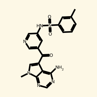 Cc1cccc(S(=O)(=O)Nc2cncc(C(=O)c3cn(C)c4ncnc(N)c34)c2)c1